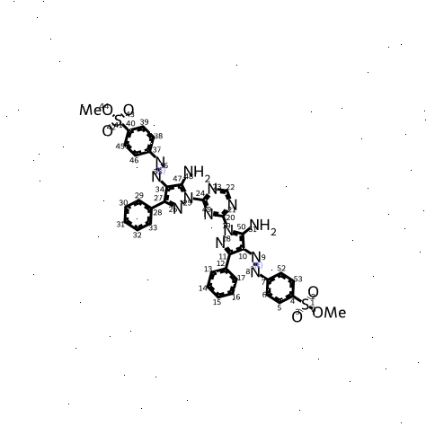 COS(=O)(=O)c1ccc(/N=N/c2c(-c3ccccc3)nn(-c3ncnc(-n4nc(-c5ccccc5)c(/N=N/c5ccc(S(=O)(=O)OC)cc5)c4N)n3)c2N)cc1